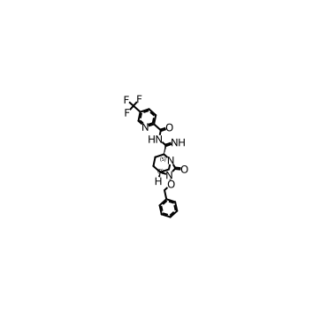 N=C(NC(=O)c1ccc(C(F)(F)F)cn1)[C@@H]1CC[C@@H]2CN1C(=O)N2OCc1ccccc1